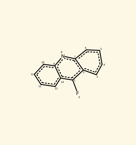 Fc1c2ccccc2nc2ccccc12